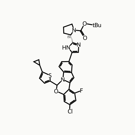 CC(C)(C)OC(=O)N1CCC[C@H]1c1ncc(-c2ccc3c(c2)cc2n3C(c3ccc(C4CC4)s3)Oc3cc(Cl)cc(F)c3-2)[nH]1